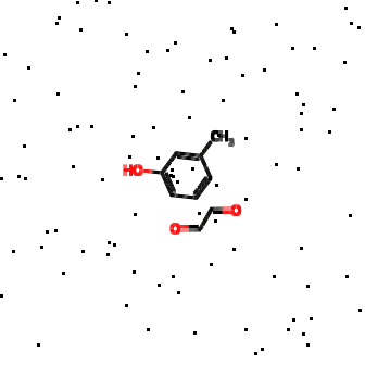 Cc1cccc(O)c1.O=CC=O